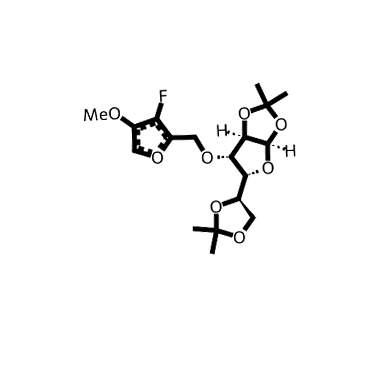 COc1coc(CO[C@@H]2[C@H]3OC(C)(C)O[C@H]3O[C@@H]2[C@H]2COC(C)(C)O2)c1F